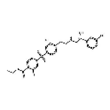 CCOC(=O)c1ccc(S(=O)(=O)c2ccc(CCNC[C@H](O)c3cccc(Cl)c3)cc2)cc1C.Cl